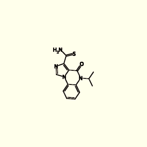 CC(C)n1c(=O)c2c(C(N)=S)ncn2c2ccccc21